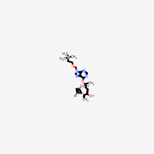 C=C(/C(O)=C\C=C(/C)Oc1ncnc2c1ncn2COCC[Si](C)(C)C)[C@@H]1[C@@H]2C[C@@]12C(=O)O